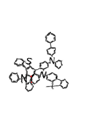 CC1(C)c2ccccc2-c2ccc(N(c3ccccc3)c3cc(N(c4ccccc4)c4ccc(-c5ccccc5)cc4)ccc3-c3cc4c5ccccc5n(-c5ccccc5)c4c4c3sc3ccccc34)cc21